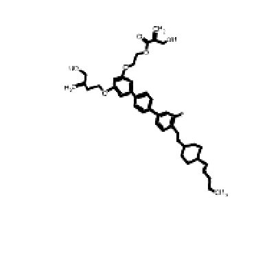 C=C(CO)CCOc1cc(OCCOC(=O)C(=C)CO)cc(-c2ccc(-c3ccc(CCC4CCC(CCCCC)CC4)c(F)c3)cc2)c1